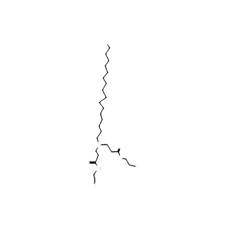 CCCCCCCCCCCCCCCCCN(CCC(=O)NCCS)CCC(=O)NCCS